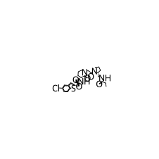 CCC(=O)NC[C@@H]1CCCN1C(=O)CN1CCC[C@H](NS(=O)(=O)c2cc3cc(Cl)ccc3s2)C1=O